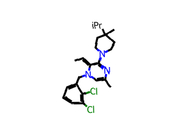 C/C=C1/C(N2CCC(C)(C(C)C)CC2)=NC(C)=CN1Cc1cccc(Cl)c1Cl